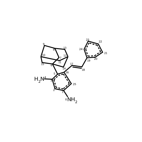 Nc1cc(N)c(C23CC4CC(CC(C4)C2)C3)c(C=Cc2ccccc2)c1